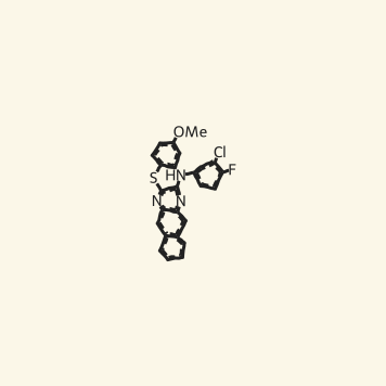 COc1ccc(Sc2nc3cc4ccccc4cc3nc2Nc2ccc(F)c(Cl)c2)cc1